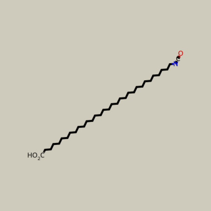 O=C=NCCCCCCCCCCCCCCCCCCCCCCCCCCCCCCCC(=O)O